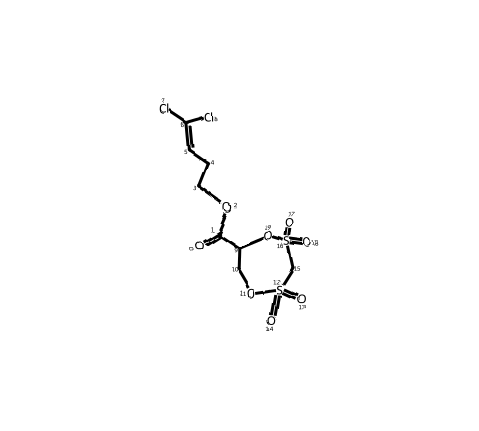 O=C(OCCC=C(Cl)Cl)C1COS(=O)(=O)CS(=O)(=O)O1